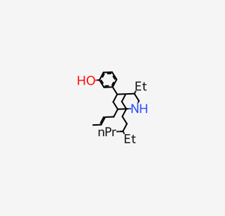 CC=CCC1CC(c2cccc(O)c2)C2CC1(CCC(CC)CCC)NCC2CC